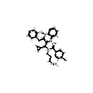 Cc1ccc(C(=O)N(CCCN)C(c2nc3ccccc3[n+]([O-])c2Cc2ccccc2)C2CC2)cc1